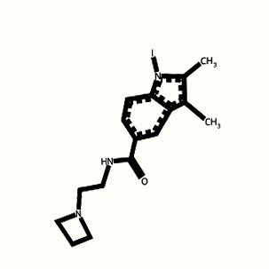 Cc1c(C)n(I)c2ccc(C(=O)NCCN3CCC3)cc12